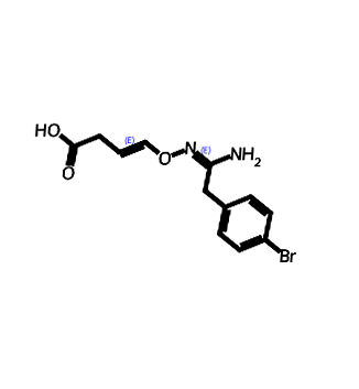 N/C(Cc1ccc(Br)cc1)=N/O/C=C/CC(=O)O